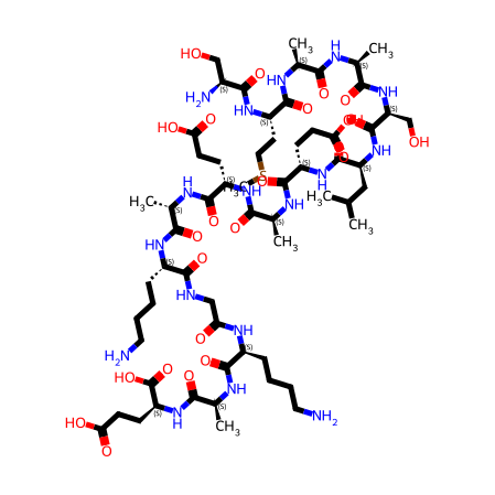 CSCC[C@H](NC(=O)[C@@H](N)CO)C(=O)N[C@@H](C)C(=O)N[C@@H](C)C(=O)N[C@@H](CO)C(=O)N[C@@H](CC(C)C)C(=O)N[C@@H](CCC(=O)O)C(=O)N[C@@H](C)C(=O)N[C@@H](CCC(=O)O)C(=O)N[C@@H](C)C(=O)N[C@@H](CCCCN)C(=O)NCC(=O)N[C@@H](CCCCN)C(=O)N[C@@H](C)C(=O)N[C@@H](CCC(=O)O)C(=O)O